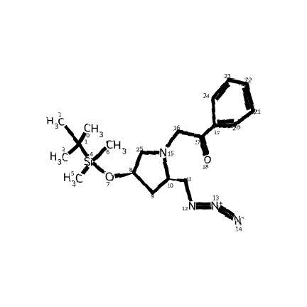 CC(C)(C)[Si](C)(C)O[C@@H]1C[C@H](CN=[N+]=[N-])N(CC(=O)c2ccccc2)C1